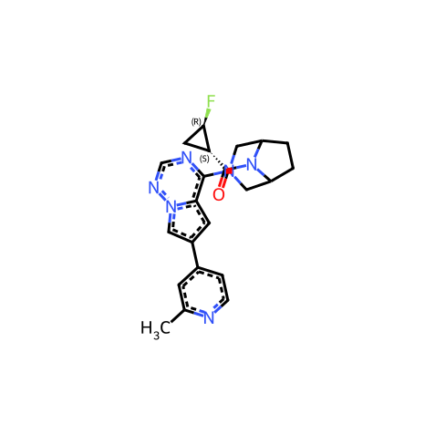 Cc1cc(-c2cc3c(N4CC5CCC(C4)N5C(=O)[C@@H]4C[C@H]4F)ncnn3c2)ccn1